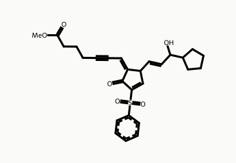 COC(=O)CCCC#C/C=C1\C(=O)C(S(=O)(=O)c2ccccc2)=CC1/C=C/C(O)C1CCCC1